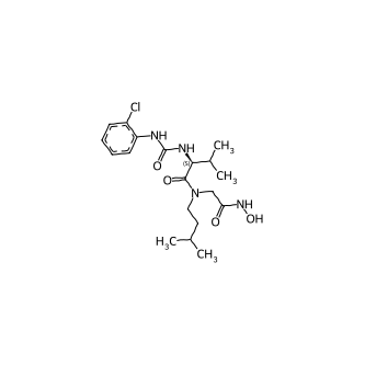 CC(C)CCN(CC(=O)NO)C(=O)[C@@H](NC(=O)Nc1ccccc1Cl)C(C)C